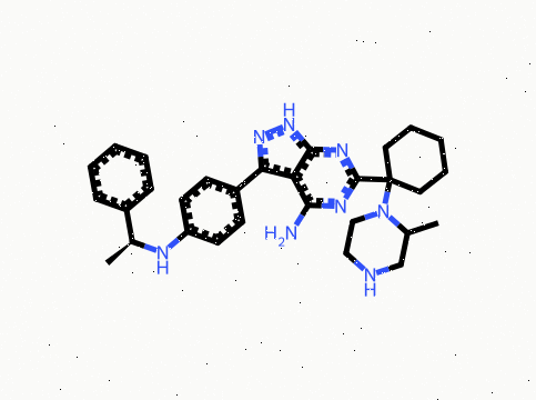 CC1CNCCN1C1(c2nc(N)c3c(-c4ccc(N[C@@H](C)c5ccccc5)cc4)n[nH]c3n2)CCCCC1